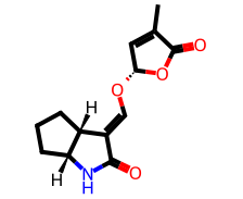 CC1=C[C@@H](O/C=C2/C(=O)N[C@@H]3CCC[C@H]23)OC1=O